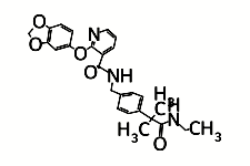 CCNC(=O)C(C)(C)c1ccc(CNC(=O)c2cccnc2Oc2ccc3c(c2)OCO3)cc1